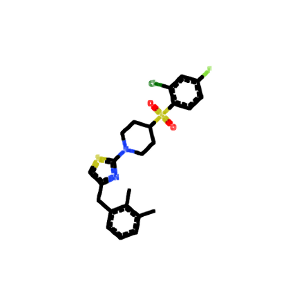 Cc1cccc(Cc2csc(N3CCC(S(=O)(=O)c4ccc(F)cc4Cl)CC3)n2)c1C